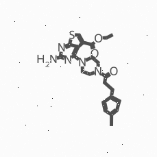 CCOC(=O)c1csc2nc(N)nc(N3CCN(C(=O)CCc4ccc(C)cc4)CC3)c12